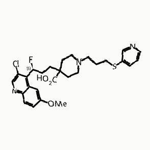 COc1ccc2ncc(Cl)c([C@@H](F)CCC3(C(=O)O)CCN(CCCSc4cccnc4)CC3)c2c1